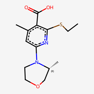 CCSc1nc(N2CCOC[C@H]2C)cc(C)c1C(=O)O